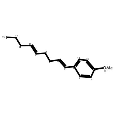 COc1ccc(C=CCCC=CCCI)cc1